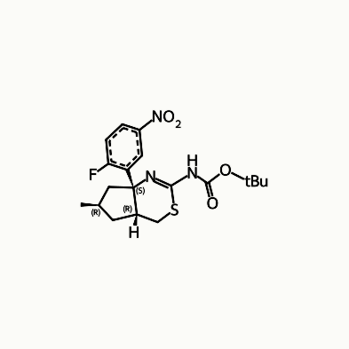 C[C@@H]1C[C@H]2CSC(NC(=O)OC(C)(C)C)=N[C@@]2(c2cc([N+](=O)[O-])ccc2F)C1